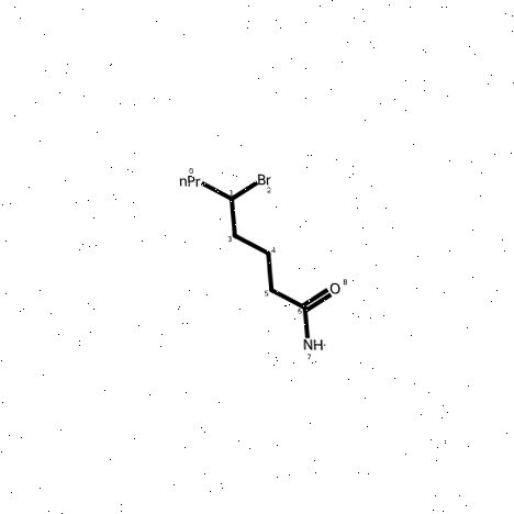 CCCC(Br)CCCC([NH])=O